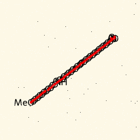 COCCOCCOCCOCCOCCOCCOCCOCCOCCOCCOCCOCCC(=O)NCCOCCOCCOCCOCCOCCOCCOCCOCCOCCOCCOCCOCCOCCOCCOCCOCCOCCOCCOCCOCCOCCOCCOCCOCCC(=O)ON1C(=O)CCC1=O